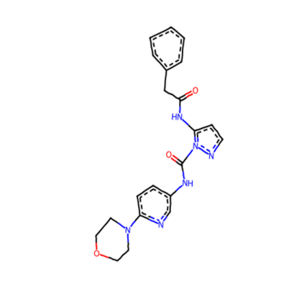 O=C(Cc1ccccc1)Nc1ccnn1C(=O)Nc1ccc(N2CCOCC2)nc1